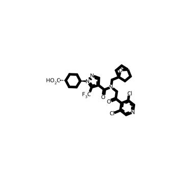 O=C(CN(CC12CCC(CC1)O2)C(=O)c1cnn([C@H]2CC[C@H](C(=O)O)CC2)c1C(F)(F)F)c1c(Cl)cncc1Cl